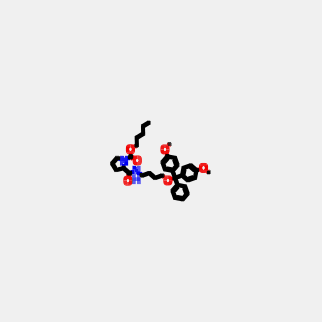 CCCCCOC(=O)N1CCCC1C(=O)NCCCCOC(c1ccccc1)(c1ccc(OC)cc1)c1ccc(OC)cc1